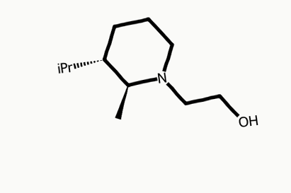 CC(C)[C@@H]1CCCN(CCO)[C@H]1C